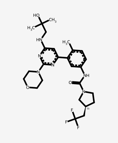 Cc1ccc(NC(=O)N2CC[C@@H](CC(F)(F)F)C2)cc1-c1cc(NCC(C)(C)O)nc(N2CCOCC2)n1